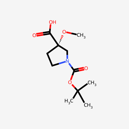 CO[C@@]1(C(=O)O)CCN(C(=O)OC(C)(C)C)C1